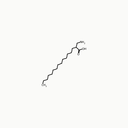 CCCCCCCCCCCCCCC(CN)C(=O)O